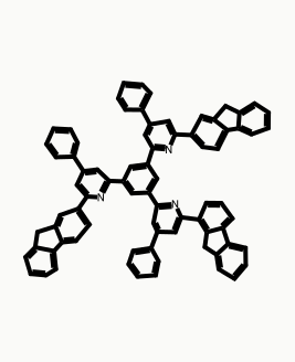 c1ccc(-c2cc(-c3cc(-c4cc(-c5ccccc5)cc(-c5ccc6c(c5)Cc5ccccc5-6)n4)cc(-c4cc(-c5ccccc5)cc(-c5cccc6c5Cc5ccccc5-6)n4)c3)nc(-c3ccc4c(c3)Cc3ccccc3-4)c2)cc1